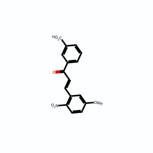 COc1ccc([N+](=O)[O-])c(C=CC(=O)c2cccc(C(=O)O)c2)c1